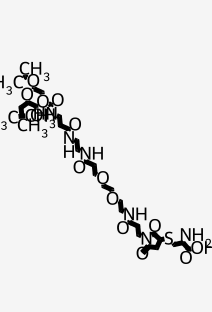 CC(C)OC(COC(=O)NCCC(=O)NCCNC(=O)CCOCCOCCNC(=O)CCN1C(=O)CC(SCC(N)C(=O)O)C1=O)OC(CO)CC(C)(C)C